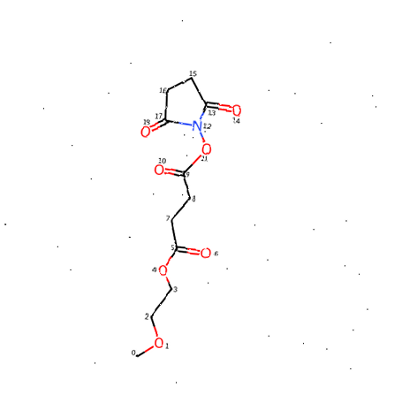 COCCOC(=O)CCC(=O)ON1C(=O)CCC1=O